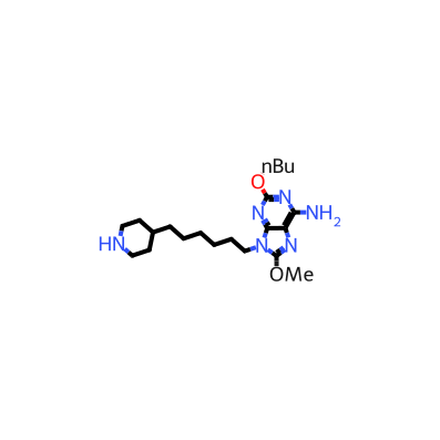 CCCCOc1nc(N)c2nc(OC)n(CCCCCCC3CCNCC3)c2n1